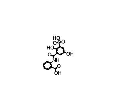 O=C(O)c1ccccc1NC(=O)c1cc(O)cc(S(=O)(=O)O)c1O